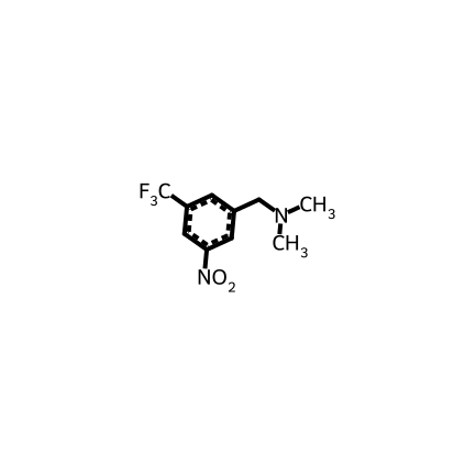 CN(C)Cc1cc([N+](=O)[O-])cc(C(F)(F)F)c1